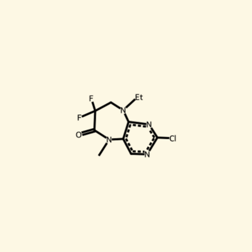 CCN1CC(F)(F)C(=O)N(C)c2cnc(Cl)nc21